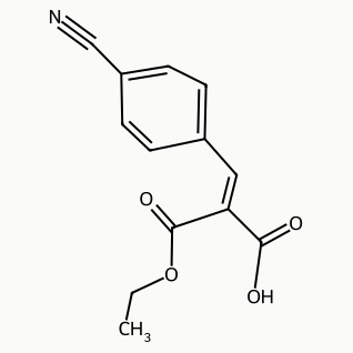 CCOC(=O)C(=Cc1ccc(C#N)cc1)C(=O)O